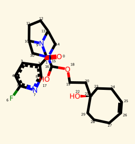 O=C(c1ccc(F)nc1)N1C2CCC1CN(C(O)OCC[C@]1(O)CC/C=C\CCC1)C2